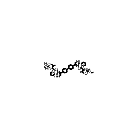 CCOC(=O)N[C@H](C(=O)N1CCC[C@H]1c1nc(-c2ccc(-c3ccc(-c4c[nH]c([C@@H]5CCCN5C(=O)[C@@H](NC(=O)O)C(C)C)n4)cc3)cc2)c[nH]1)C(C)C